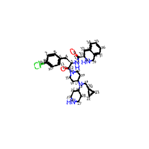 O=C(N[C@H](Cc1ccc(Cl)cc1)C(=O)N1CCC(N(CC2CC2)C2CCNCC2)CC1)[C@H]1Cc2ccccc2CN1